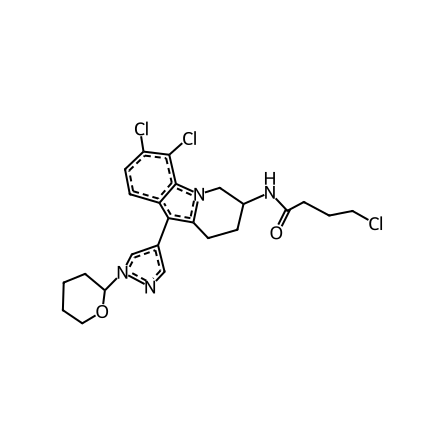 O=C(CCCCl)NC1CCc2c(-c3cnn(C4CCCCO4)c3)c3ccc(Cl)c(Cl)c3n2C1